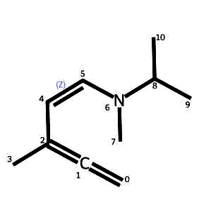 C=C=C(C)/C=C\N(C)C(C)C